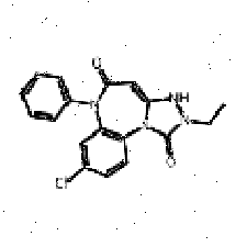 CCN1NC2=CC(=O)N(c3ccccc3)c3cc(Cl)ccc3N2C1=O